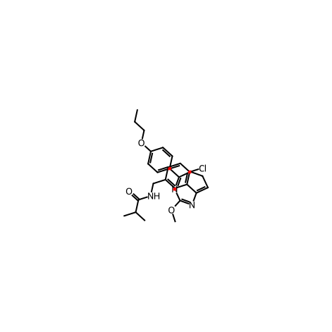 CCCOc1ccc(/C2=N/C(OC)=N\C(c3cc(CNC(=O)C(C)C)ccc3Cl)=C\CC2)cc1